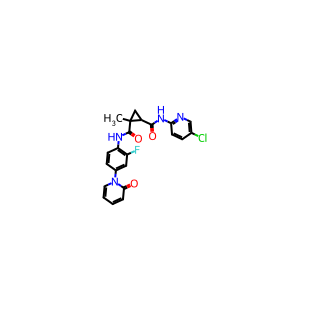 CC1(C(=O)Nc2ccc(-n3ccccc3=O)cc2F)CC1C(=O)Nc1ccc(Cl)cn1